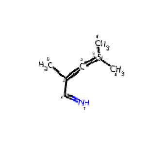 CC(=C=[Si](C)C)C=N